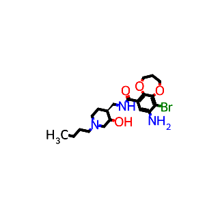 CCCCN1CC[C@@H](CNC(=O)c2cc(N)c(Br)c3c2OCCCO3)C(O)C1